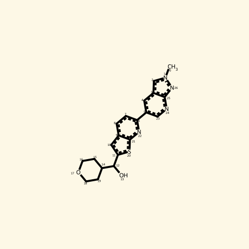 Cn1cc2cc(-c3ccc4cc(C(O)C5CCOCC5)sc4n3)cnc2n1